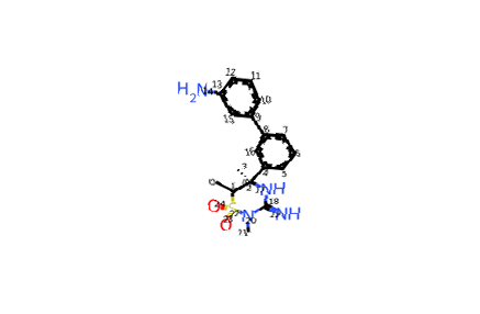 CC1[C@@](C)(c2cccc(-c3cccc(N)c3)c2)NC(=N)N(C)S1(=O)=O